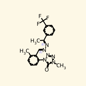 C/C(=N\N=C\c1c(C)cccc1-n1nnn(C)c1=O)c1cccc(C(F)(F)F)c1